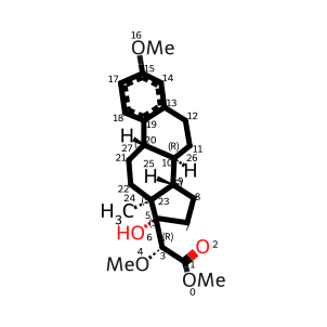 COC(=O)[C@H](OC)[C@]1(O)CC[C@H]2[C@@H]3CCc4cc(OC)ccc4[C@H]3CC[C@@]21C